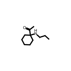 CC[CH]NC1(C(C)=O)CCCCC1